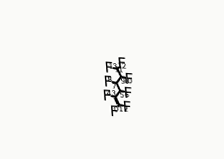 FC(F)=C(F)C(F)C(F)C(F)C(F)F